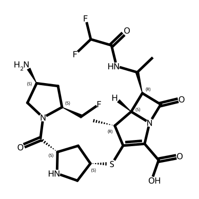 CC(NC(=O)C(F)F)[C@H]1C(=O)N2C(C(=O)O)=C(S[C@@H]3CN[C@H](C(=O)N4C[C@@H](N)C[C@H]4CF)C3)[C@H](C)[C@H]12